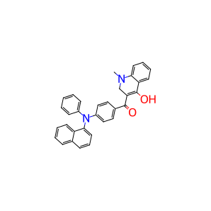 CN1CC(C(=O)c2ccc(N(c3ccccc3)c3cccc4ccccc34)cc2)=C(O)c2ccccc21